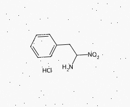 Cl.NC(Cc1ccccc1)[N+](=O)[O-]